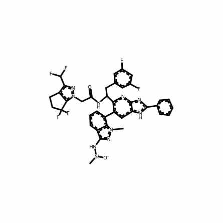 Cn1nc(N[S+](C)[O-])c2cccc(-c3cc4[nH]c(-c5ccccc5)nc4nc3C(Cc3cc(F)cc(F)c3)NC(=O)Cn3nc(C(F)F)c4c3C(F)(F)CC4)c21